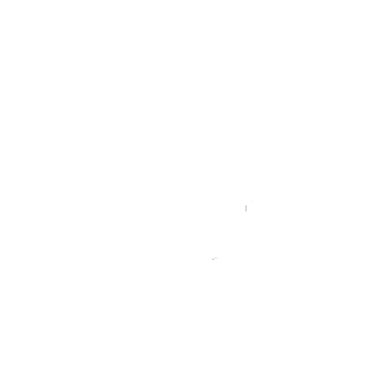 C1=CC2C3CCC(CC3)C2CC1